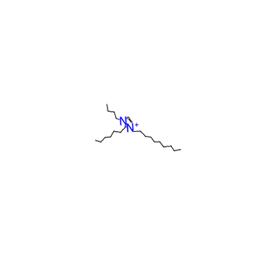 CCCCCCCCCC[n+]1ccn(CCCC)c1CCCCCC